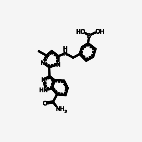 Cc1cc(NCc2cccc(B(O)O)c2)nc(-c2n[nH]c3c(C(N)=O)cccc23)n1